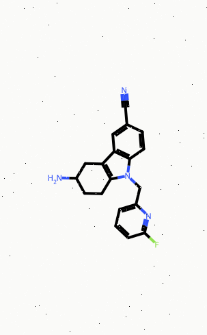 N#Cc1ccc2c(c1)c1c(n2Cc2cccc(F)n2)CCC(N)C1